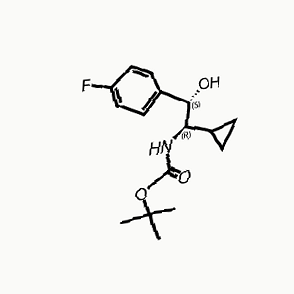 CC(C)(C)OC(=O)N[C@H](C1CC1)[C@@H](O)c1ccc(F)cc1